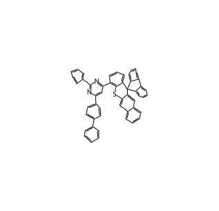 c1ccc(-c2ccc(-c3cc(-c4cccc5c4Sc4cc6ccccc6cc4C54c5ccccc5-c5ccccc54)nc(-c4ccccc4)n3)cc2)cc1